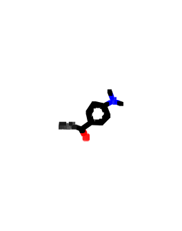 [CH2]NC(=O)c1ccc(N(C)C)cc1